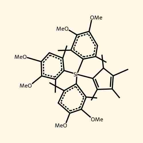 COc1cc(C)c([Si](C2=C(C)C(C)=C(C)C2C)(c2c(C)cc(OC)c(OC)c2C)c2c(C)cc(OC)c(OC)c2C)c(C)c1OC